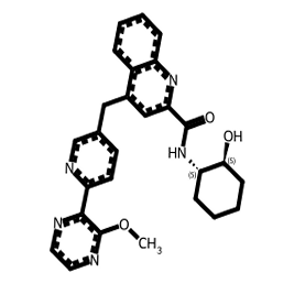 COc1nccnc1-c1ccc(Cc2cc(C(=O)N[C@H]3CCCC[C@@H]3O)nc3ccccc23)cn1